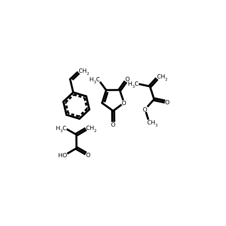 C=C(C)C(=O)O.C=C(C)C(=O)OC.C=Cc1ccccc1.CC1=CC(=O)OC1=O